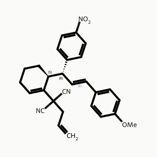 C=CCC(C#N)(C#N)C1=CCCC[C@H]1[C@@H](/C=C/c1ccc(OC)cc1)c1ccc([N+](=O)[O-])cc1